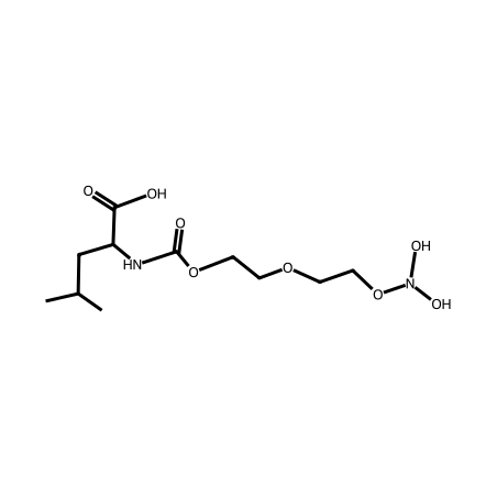 CC(C)CC(NC(=O)OCCOCCON(O)O)C(=O)O